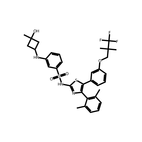 Cc1cccc(C)c1-c1nc(NS(=O)(=O)c2cccc(NC3CC(C)(O)C3)c2)sc1-c1cccc(OCC(C)(C)C(F)(F)F)c1